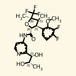 COc1c([C@H]2[C@H](C(=O)Nc3ccnc([C@H](O)[C@H](C)O)c3)O[C@@](C)(C(F)(F)F)[C@H]2C)ccc(F)c1F